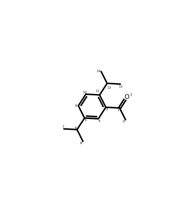 CC(=O)c1cc(C(C)C)ccc1C(C)C